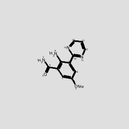 COc1cc(C(N)=O)c(N)c(-c2ncccn2)c1